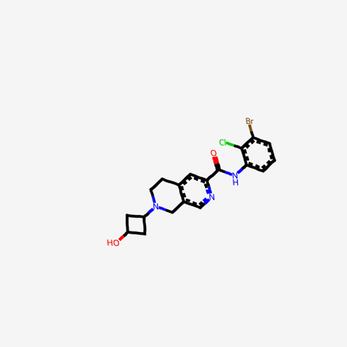 O=C(Nc1cccc(Br)c1Cl)c1cc2c(cn1)CN(C1CC(O)C1)CC2